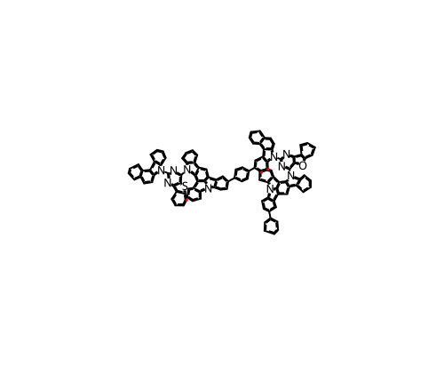 c1ccc(-c2ccc3c(c2)c2cc4c5ccccc5n(-c5nc(-n6c7ccc(-c8ccc(-c9ccc%10c(c9)c9cc%11c%12ccccc%12n(-c%12nc(-n%13c%14ccccc%14c%14c%15ccccc%15ccc%14%13)nc%13c%12sc%12ccccc%12%13)c%11c%11c%12ccccc%12n%10c9%11)cc8)cc7c7c8ccccc8ccc76)nc6c5oc5ccccc56)c4c4c5ccccc5n3c24)cc1